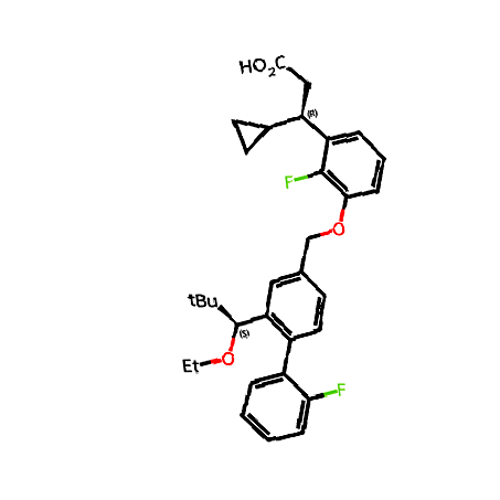 CCO[C@H](c1cc(COc2cccc([C@H](CC(=O)O)C3CC3)c2F)ccc1-c1ccccc1F)C(C)(C)C